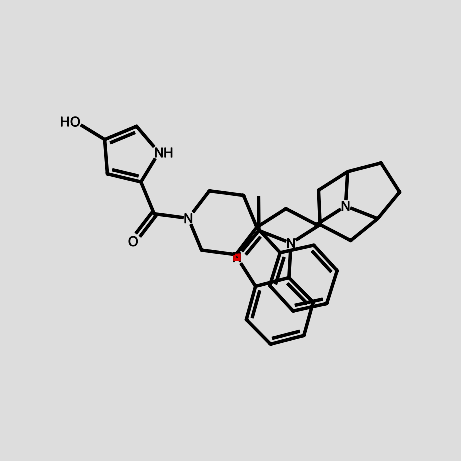 Cc1nc2ccccc2n1C1CC2CCC(C1)N2CCC1(c2ccccc2)CCN(C(=O)c2cc(O)c[nH]2)CC1